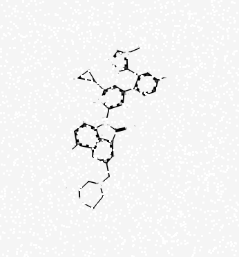 C[C@@H]1CN(Cc2cc3c4c(ccc(F)c4c2)N(c2cc(-c4ccc(F)cc4-c4nncn4C)cc(C4CC4)n2)C3=O)CCO1